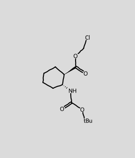 CC(C)(C)OC(=O)N[C@@H]1CCCC[C@H]1C(=O)OCCl